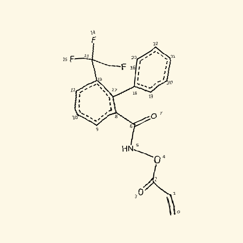 C=CC(=O)ONC(=O)c1cccc(C(F)(F)F)c1-c1ccccc1